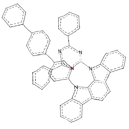 c1ccc(-c2ccc(-c3ccc(-n4c5ccccc5c5ccc6c7ccccc7n(-c7nc(-c8ccccc8)nc(-c8ccccc8)n7)c6c54)cc3)cc2)cc1